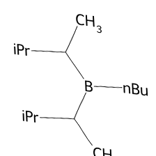 CCCCB(C(C)C(C)C)C(C)C(C)C